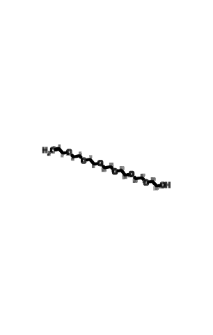 C=CCOCCOCCOCCOCCOCCOCCO